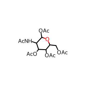 CC(=O)NC1C(OC(C)=O)OC(COC(C)=O)C(OC(C)=O)C1OC(C)=O